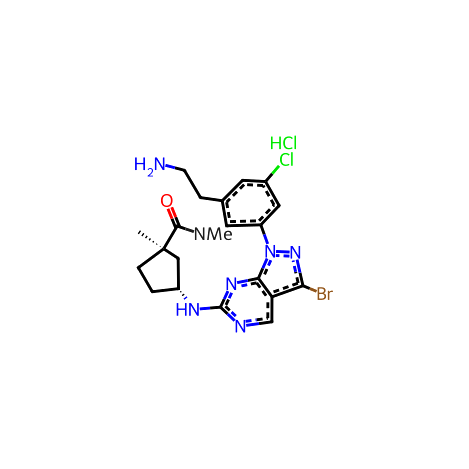 CNC(=O)[C@]1(C)CC[C@@H](Nc2ncc3c(Br)nn(-c4cc(Cl)cc(CCN)c4)c3n2)C1.Cl